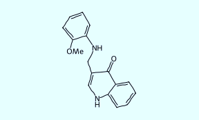 COc1ccccc1NCc1c[nH]c2ccccc2c1=O